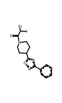 CCC(F)C(=O)N1CCC(c2nc(-c3ccccc3)no2)CC1